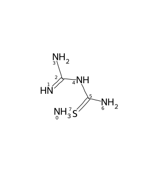 N.N=C(N)NC(N)=S